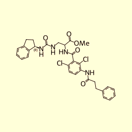 COC(=O)C(CNC(=O)N[C@@H]1CCc2ccccc21)NC(=O)c1c(Cl)ccc(NC(=O)CCc2ccccc2)c1Cl